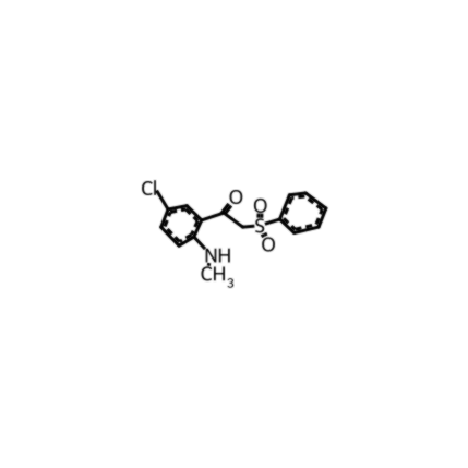 CNc1ccc(Cl)cc1C(=O)CS(=O)(=O)c1ccccc1